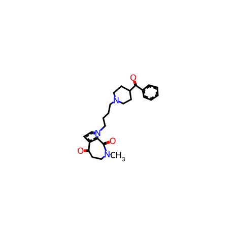 CN1CCC(=O)c2ccn(CCCCN3CCC(C(=O)c4ccccc4)CC3)c2C1=O